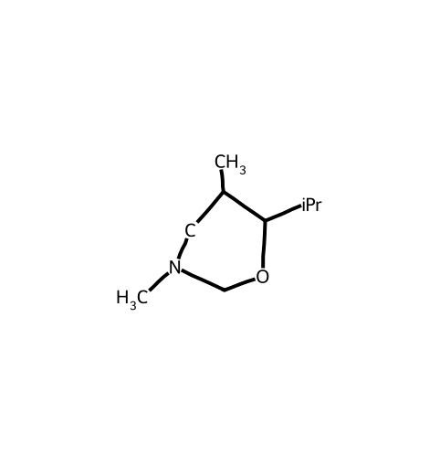 CC(C)C1OCN(C)CC1C